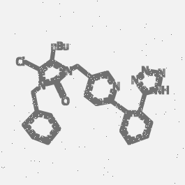 CCCCc1c(Cl)n(Cc2ccccc2)c(=O)n1Cc1ccc(-c2ccccc2-c2nnn[nH]2)nc1